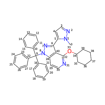 Cn1nccc1-c1nn(C(c2ccccc2)(c2ccccc2)c2ccccc2)c2ccnc(OC3CCCCC3)c12